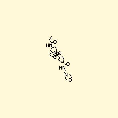 C=CC(=O)NC1CCN(S(=O)(=O)c2ccc(C(=O)NCCN3CCOCC3)cc2)C2(CCC2)C1